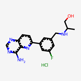 CC(CO)NCc1cc(F)cc(-c2ccc3ncnc(N)c3n2)c1.Cl